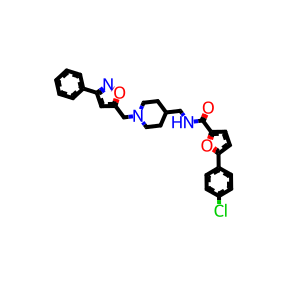 O=C(NCC1CCN(Cc2cc(-c3ccccc3)no2)CC1)c1ccc(-c2ccc(Cl)cc2)o1